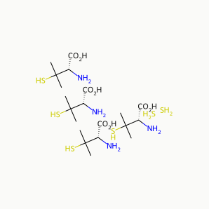 CC(C)(S)[C@@H](N)C(=O)O.CC(C)(S)[C@@H](N)C(=O)O.CC(C)(S)[C@@H](N)C(=O)O.CC(C)(S)[C@@H](N)C(=O)O.S.S